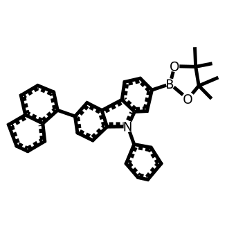 CC1(C)OB(c2ccc3c4cc(-c5cccc6ccccc56)ccc4n(-c4ccccc4)c3c2)OC1(C)C